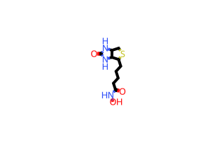 O=C(CCCCC1SCC2NC(=O)NC21)NO